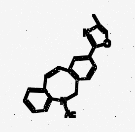 CC(=O)N1Cc2ccc(-c3nc(C)co3)cc2C=Cc2ccccc21